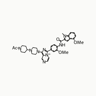 COc1cc(C2=NC(N3CCN(C4CCN(C(C)=O)CC4)CC3)=C3C=NC=C[N+]23C)ccc1NC(=O)c1cc2c(OC)cccc2n1C